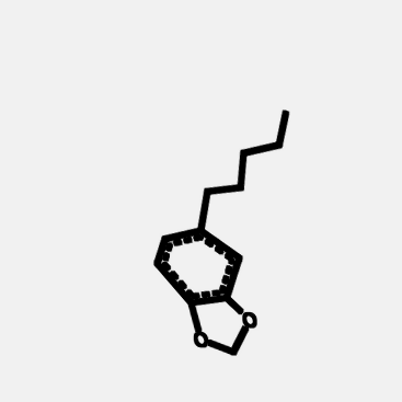 CCCCCc1ccc2c(c1)OCO2